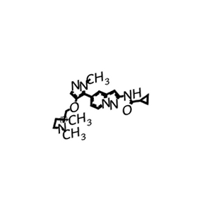 CN1CC[C@]1(C)COc1cnn(C)c1-c1ccn2nc(NC(=O)C3CC3)cc2c1